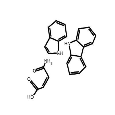 NC(=O)/C=C\C(=O)O.c1ccc2[nH]ccc2c1.c1ccc2c(c1)[nH]c1ccccc12